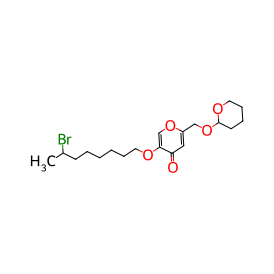 CC(Br)CCCCCCOc1coc(COC2CCCCO2)cc1=O